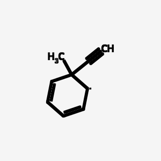 C#CC1(C)[CH]C=CC=C1